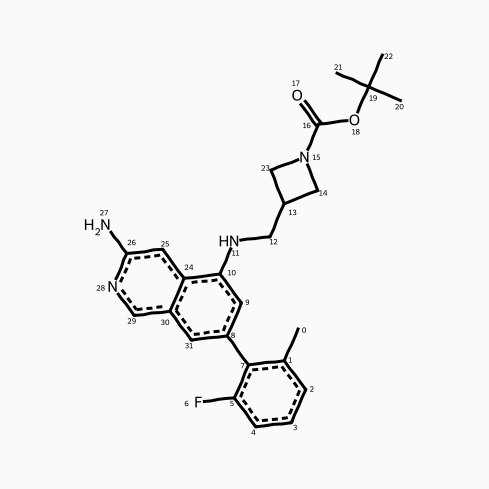 Cc1cccc(F)c1-c1cc(NCC2CN(C(=O)OC(C)(C)C)C2)c2cc(N)ncc2c1